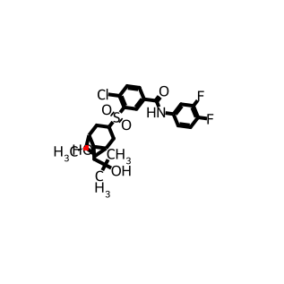 C[C@H]1CC2CC(S(=O)(=O)c3cc(C(=O)Nc4ccc(F)c(F)c4)ccc3Cl)CC1[C@@]2(O)CC(C)(C)O